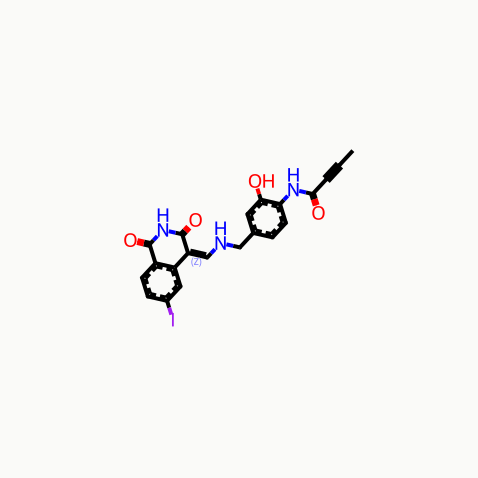 CC#CC(=O)Nc1ccc(CN/C=C2\C(=O)NC(=O)c3ccc(I)cc32)cc1O